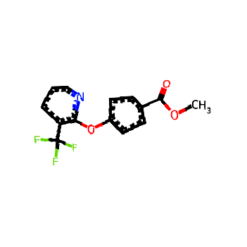 COC(=O)c1ccc(Oc2ncccc2C(F)(F)F)cc1